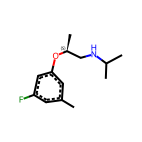 Cc1cc(F)cc(O[C@@H](C)CNC(C)C)c1